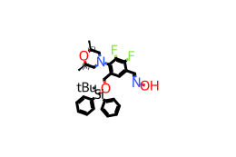 C[C@@H]1CN(c2c(CO[Si](c3ccccc3)(c3ccccc3)C(C)(C)C)cc(C=NO)c(F)c2F)C[C@H](C)O1